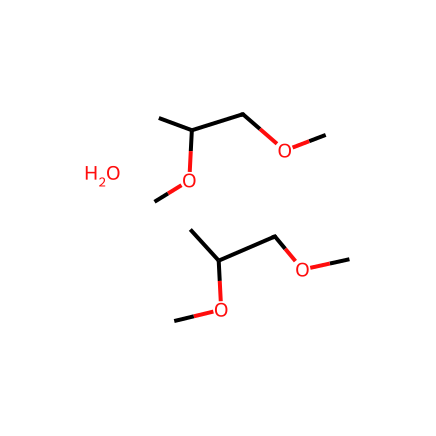 COCC(C)OC.COCC(C)OC.O